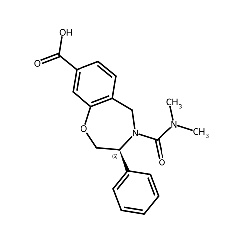 CN(C)C(=O)N1Cc2ccc(C(=O)O)cc2OC[C@@H]1c1ccccc1